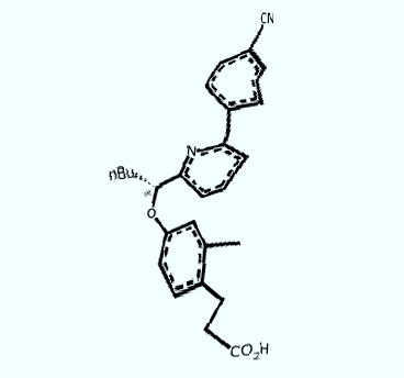 CCCC[C@@H](Oc1ccc(CCC(=O)O)c(C)c1)c1cccc(-c2ccc(C#N)cc2)n1